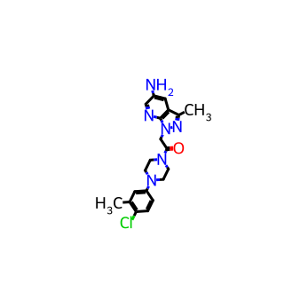 Cc1cc(N2CCN(C(=O)Cn3nc(C)c4cc(N)cnc43)CC2)ccc1Cl